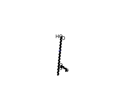 CCCCCCCC(CCCCCCCC/C=C/CCCCCCCC(=O)O)OC(=O)CCCN(C)C